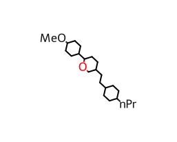 CCCC1CCC(CCC2CCC(C3CCC(OC)CC3)OC2)CC1